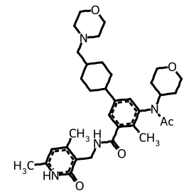 CC(=O)N(c1cc(C2CCC(CN3CCOCC3)CC2)cc(C(=O)NCc2c(C)cc(C)[nH]c2=O)c1C)C1CCOCC1